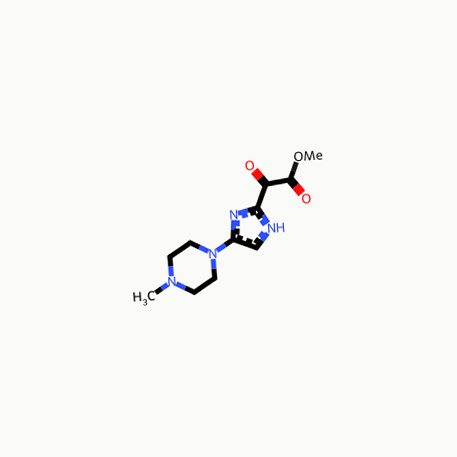 COC(=O)C(=O)c1nc(N2CCN(C)CC2)c[nH]1